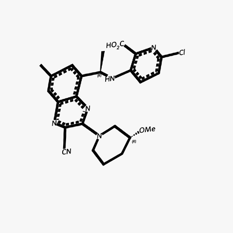 CO[C@@H]1CCCN(c2nc3c([C@@H](C)Nc4ccc(Cl)nc4C(=O)O)cc(C)cc3nc2C#N)C1